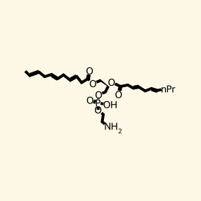 CC=CCC=CCC=CCC(=O)OC[C@H](COP(=O)(O)OCCN)OC(=O)CC=CCC=CCCC